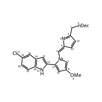 CCCCCCCCCCCC1=NC(=Cn2cc(OC)cc2-c2cc3cc(Cl)ccc3[nH]2)C=C1